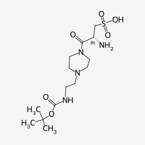 CC(C)(C)OC(=O)NCCN1CCN(C(=O)[C@@H](N)CS(=O)(=O)O)CC1